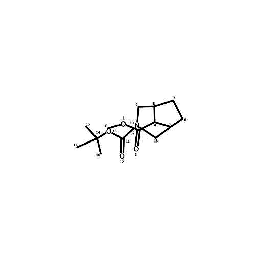 COC(=O)C1C2CCC1CN(C(=O)OC(C)(C)C)C2